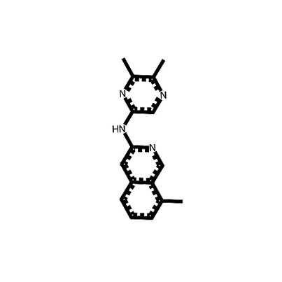 Cc1ncc(Nc2cc3cccc(C)c3cn2)nc1C